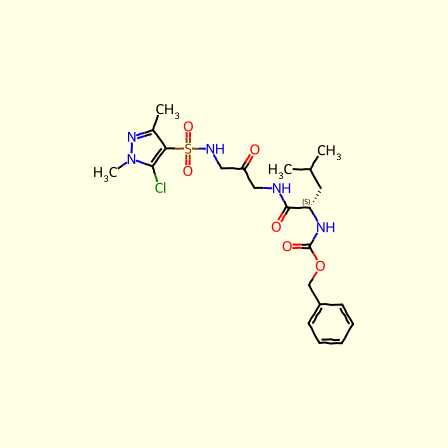 Cc1nn(C)c(Cl)c1S(=O)(=O)NCC(=O)CNC(=O)[C@H](CC(C)C)NC(=O)OCc1ccccc1